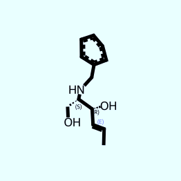 C/C=C/[C@@H](O)[C@H](CO)NCc1ccccc1